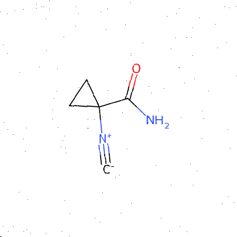 [C-]#[N+]C1(C(N)=O)CC1